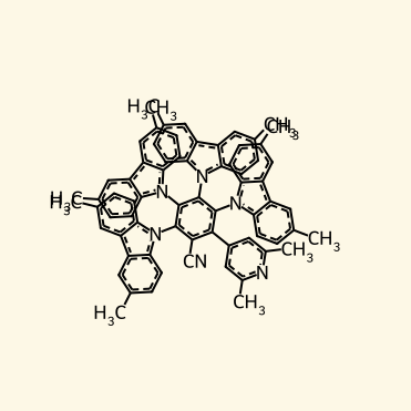 Cc1ccc2c(c1)c1cc(C)ccc1n2-c1c(C#N)c(-c2cc(C)nc(C)c2)c(-n2c3ccc(C)cc3c3cc(C)ccc32)c(-n2c3ccc(C)cc3c3cc(C)ccc32)c1-n1c2ccc(C)cc2c2cc(C)ccc21